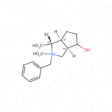 CC[C@@]1(C(=O)O)[C@H]2CCC(O)[C@H]2C[N+]1(Cc1ccccc1)C(=O)O